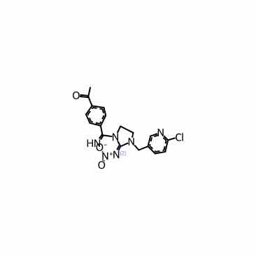 CC(=O)c1ccc(C(=N)N2CCN(Cc3ccc(Cl)nc3)/C2=N/[N+](=O)[O-])cc1